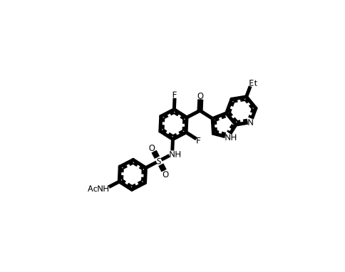 CCc1cnc2[nH]cc(C(=O)c3c(F)ccc(NS(=O)(=O)c4ccc(NC(C)=O)cc4)c3F)c2c1